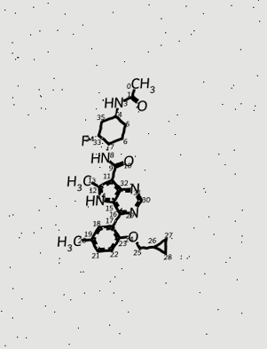 CC(=O)N[C@H]1CC[C@H](NC(=O)c2c(C)[nH]c3c(-c4cc(C)ccc4OCC4CC4)ncnc23)[C@H](F)C1